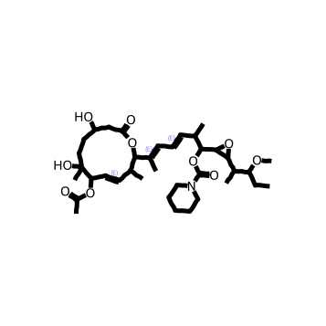 CCC(OC)C(C)C1OC1C(OC(=O)N1CCCCC1)C(C)/C=C/C=C(\C)C1OC(=O)CC(O)CCC(C)(O)C(OC(C)=O)/C=C/C1C